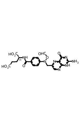 Nc1nc(=O)c2nc(CN(OC=O)c3ccc(C(=O)N[C@@H](CCC(=O)O)C(=O)O)cc3)cnc2[nH]1